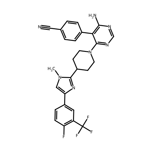 Cn1cc(-c2ccc(F)c(C(F)(F)F)c2)nc1C1CCN(c2ncnc(N)c2-c2ccc(C#N)cc2)CC1